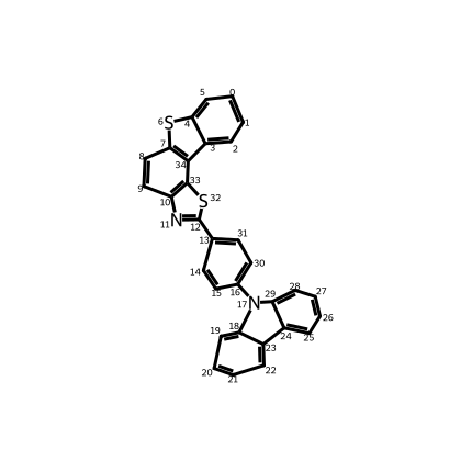 c1ccc2c(c1)sc1ccc3nc(-c4ccc(-n5c6ccccc6c6ccccc65)cc4)sc3c12